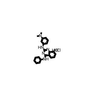 CN(C)c1cccc(Nc2nc(Nc3ccccc3)c3ccccc3n2)c1.Cl.Cl